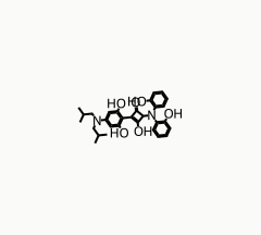 CC(C)CN(CC(C)C)c1cc(O)c(C2=C(O)C(N(c3ccccc3O)c3ccccc3O)C2=O)c(O)c1